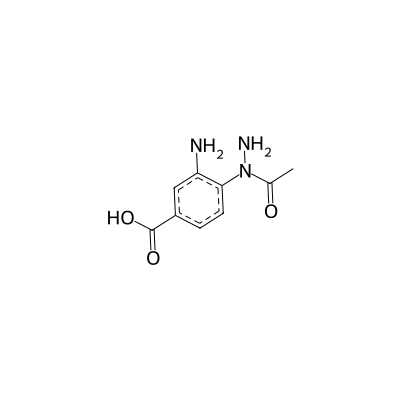 CC(=O)N(N)c1ccc(C(=O)O)cc1N